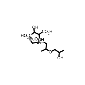 CC(C)COCC(C)C.CC(O)COC(C)CO.O=C(O)C(O)C(O)C(=O)O